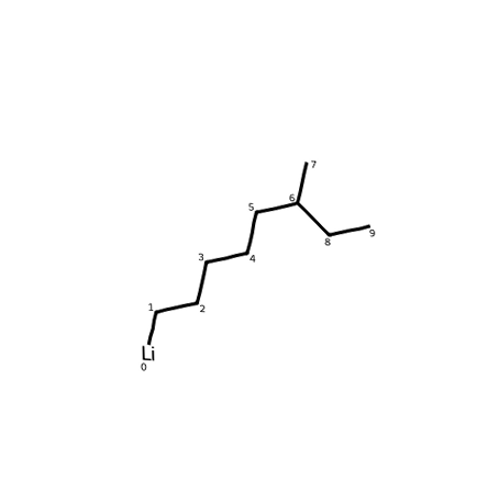 [Li][CH2]CCCCC(C)CC